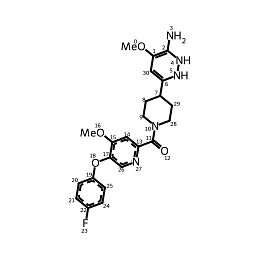 COC1=C(N)NNC(C2CCN(C(=O)c3cc(OC)c(Oc4ccc(F)cc4)cn3)CC2)=C1